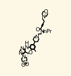 CCCN(CCN1CCC(c2cc(C)c3c(c2)Nc2ncnc(N4CCS(=O)(=O)CC4)c2[C@@H](C)O3)CC1)C(=O)C#CCCN1CCOCC1